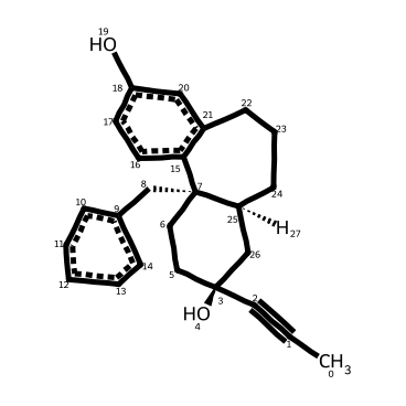 CC#C[C@]1(O)CC[C@@]2(Cc3ccccc3)c3ccc(O)cc3CCC[C@H]2C1